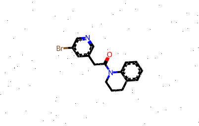 O=C(Cc1cncc(Br)c1)N1CCCc2ccccc21